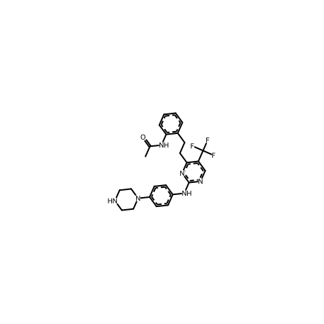 CC(=O)Nc1ccccc1CCc1nc(Nc2ccc(N3CCNCC3)cc2)ncc1C(F)(F)F